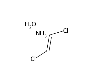 ClC=CCl.N.O